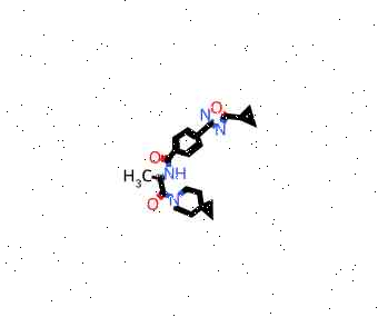 C[C@@H](NC(=O)c1ccc(-c2noc(C3CC3)n2)cc1)C(=O)N1CCC2(CC1)CC2